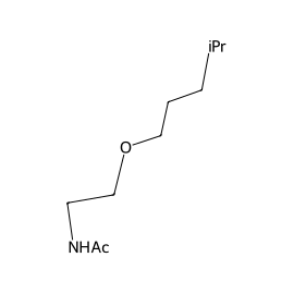 CC(=O)NCCOCCCC(C)C